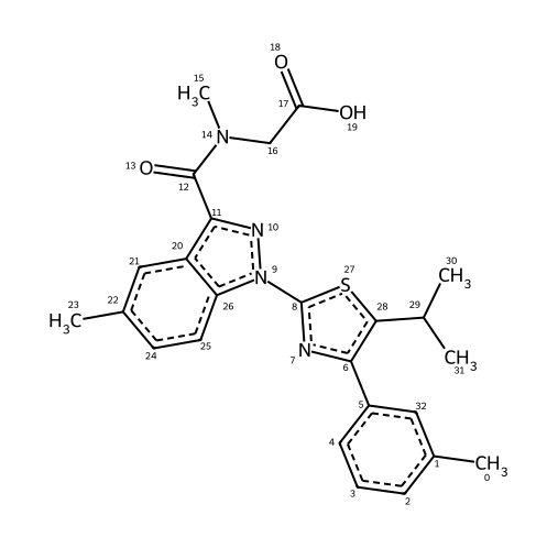 Cc1cccc(-c2nc(-n3nc(C(=O)N(C)CC(=O)O)c4cc(C)ccc43)sc2C(C)C)c1